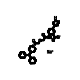 O=C(COCC(=O)N1CCN(C(c2ccccc2)c2ccccc2)CC1)Nc1ccc(-c2cn[nH]c2)cc1C(=O)[O-].[Na+]